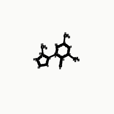 Cc1cc(N)c(=O)n(-c2ccnn2C)n1